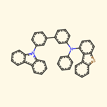 c1ccc(N(c2cccc(-c3cccc(-n4c5ccccc5c5ccccc54)c3)c2)c2cccc3sc4ccccc4c23)cc1